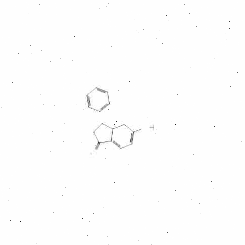 CC1=CC=C2C(=O)C[C@H](c3ccccc3)C2C1